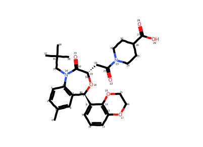 Cc1ccc2c(c1)[C@H](c1cccc3c1OCCO3)O[C@@H](CC(=O)N1CCC(C(=O)O)CC1)C(=O)N2CC(C)(C)C